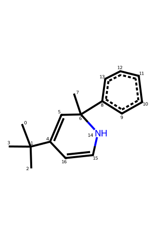 CC(C)(C)C1=CC(C)(c2ccccc2)NC=C1